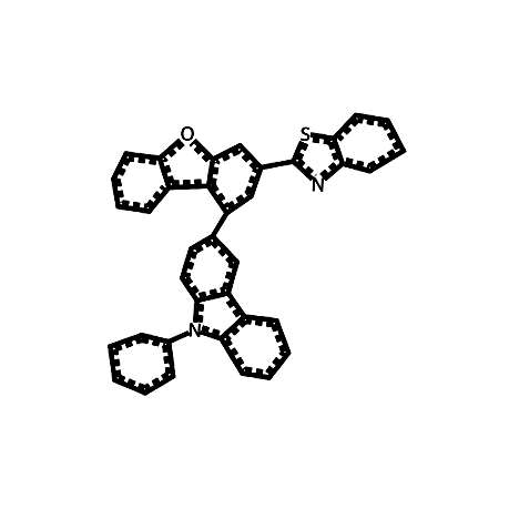 c1ccc(-n2c3ccccc3c3cc(-c4cc(-c5nc6ccccc6s5)cc5oc6ccccc6c45)ccc32)cc1